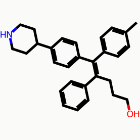 Cc1ccc(/C(=C(\CCCO)c2ccccc2)c2ccc(C3CCNCC3)cc2)cc1